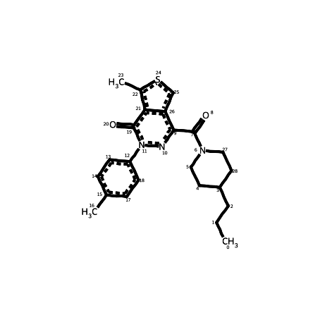 CCCC1CCN(C(=O)c2nn(-c3ccc(C)cc3)c(=O)c3c(C)scc23)CC1